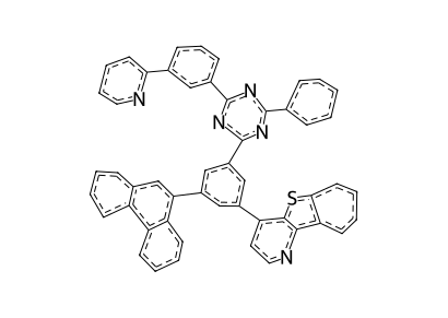 c1ccc(-c2nc(-c3cccc(-c4ccccn4)c3)nc(-c3cc(-c4cc5ccccc5c5ccccc45)cc(-c4ccnc5c4sc4ccccc45)c3)n2)cc1